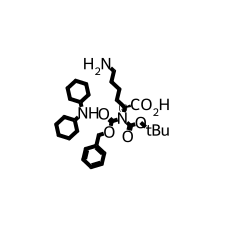 C1CCC(NC2CCCCC2)CC1.CC(C)(C)OC(=O)N(C(=O)OCc1ccccc1)[C@@H](CCCCN)C(=O)O